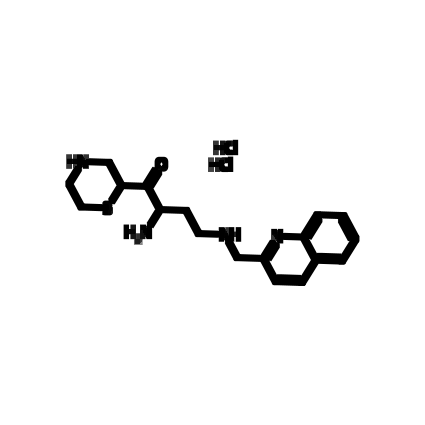 Cl.Cl.NC(CCNCc1ccc2ccccc2n1)C(=O)C1CNCCS1